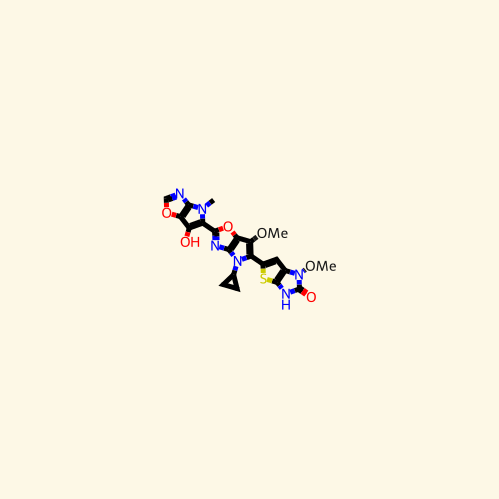 COc1c(-c2cc3c([nH]c(=O)n3OC)s2)n(C2CC2)c2nc(-c3c(O)c4ocnc4n3C)oc12